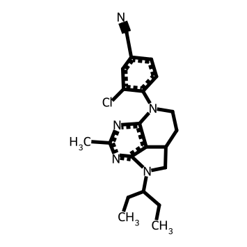 CCC(CC)N1CC2CCN(c3ccc(C#N)cc3Cl)c3nc(C)nc1c32